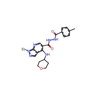 CCn1ncc2c(NC3CCOCC3)c(C(=O)NNC(=O)c3ccc(C)cc3)cnc21